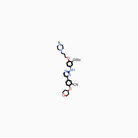 COc1cc(Nc2nccc(-c3ccc(OC4CCOCC4)c(C#N)c3)n2)ccc1OCCCN1CCN(C)CC1